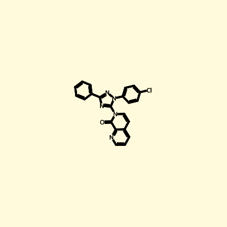 O=c1c2ncccc2ccn1-c1nc(-c2ccccc2)nn1-c1ccc(Cl)cc1